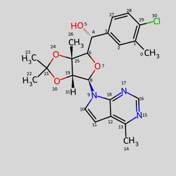 Cc1cc([C@@H](O)C2O[C@@H](n3ccc4c(C)ncnc43)[C@@H]3OC(C)(C)O[C@]23C)ccc1Cl